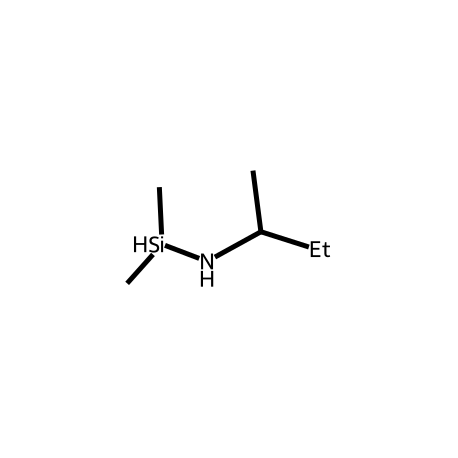 CCC(C)N[SiH](C)C